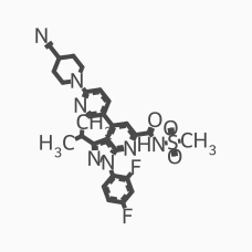 CC(C)c1nn(-c2ccc(F)cc2F)c2nc(C(=O)NS(C)(=O)=O)cc(-c3ccc(N4CCC(C#N)CC4)nc3)c12